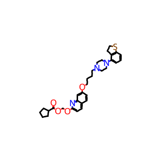 O=C(OCOc1ccc2ccc(OCCCCN3CCN(c4cccc5c4CCS5)CC3)cc2n1)C1CCCC1